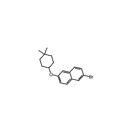 CC1(C)CCC(Oc2ccc3cc(Br)ccc3c2)CC1